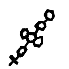 C=P(C)(C)c1ccc(-c2c3c(c(-c4ccc(-c5ccccc5)cc4)c4ccccc24)CCC=C3)cc1